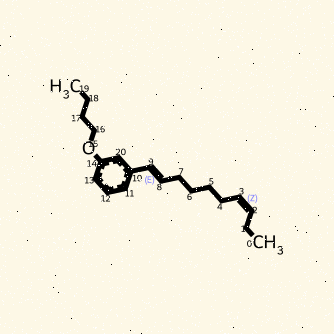 CC/C=C\CCCC/C=C/c1cccc(OCCCC)c1